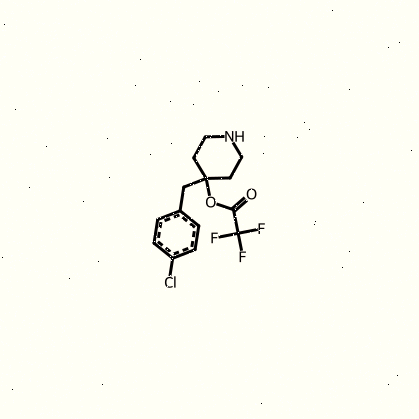 O=C(OC1(Cc2ccc(Cl)cc2)CCNCC1)C(F)(F)F